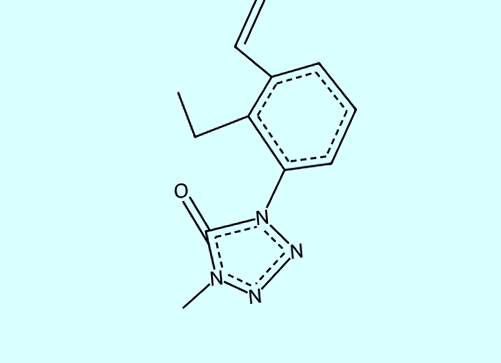 C=Cc1cccc(-n2nnn(C)c2=O)c1CC